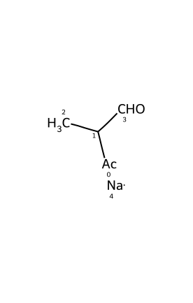 CC(=O)C(C)C=O.[Na]